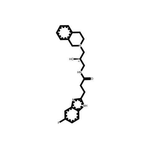 O=C(CCc1nc2cc(F)ccc2[nH]1)NC[C@@H](O)CN1CCc2ccccc2C1